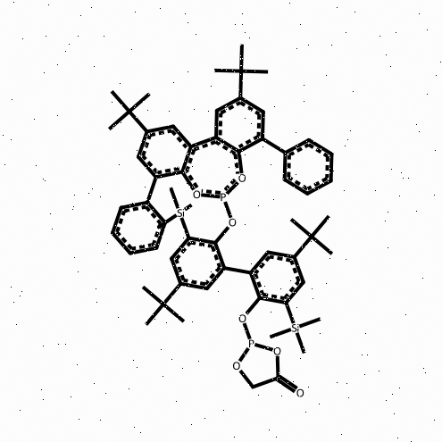 CC(C)(C)c1cc(-c2cc(C(C)(C)C)cc([Si](C)(C)C)c2Op2oc3c(-c4ccccc4)cc(C(C)(C)C)cc3c3cc(C(C)(C)C)cc(-c4ccccc4)c3o2)c(OP2OCC(=O)O2)c([Si](C)(C)C)c1